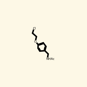 CC(=O)NCc1ccc(OCCCl)cc1